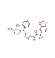 O=C(Nc1ncc([C@@H](c2ccc(F)cc2Cl)N2CC[C@@H](O)C2)s1)C1(c2ccc3c(c2)OCO3)CC1